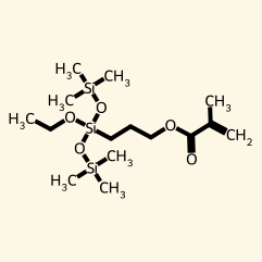 C=C(C)C(=O)OCCC[Si](OCC)(O[Si](C)(C)C)O[Si](C)(C)C